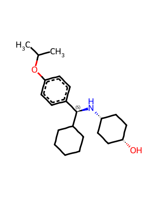 CC(C)Oc1ccc([C@@H](N[C@H]2CC[C@@H](O)CC2)C2CCCCC2)cc1